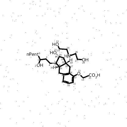 CCCCCC(O)CC[C@@H]1[C@H]2Cc3cccc(OCC(=O)O)c3C[C@H]2C[C@H]1O.OCCNCCO